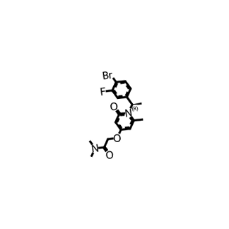 Cc1cc(OCC(=O)N(C)C)cc(=O)n1[C@H](C)c1ccc(Br)c(F)c1